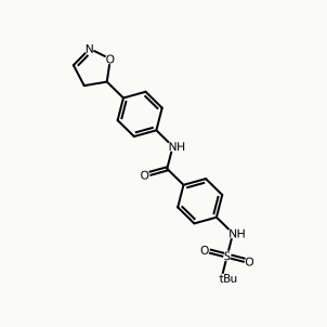 CC(C)(C)S(=O)(=O)Nc1ccc(C(=O)Nc2ccc(C3CC=NO3)cc2)cc1